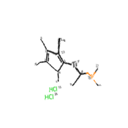 CC1=C(C)C(C)[C]([Ti][CH](C)P(C)C)=C1C.Cl.Cl